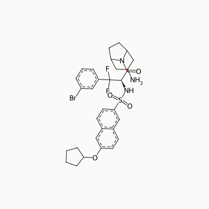 NC1CC2CCC(C1)N2C(=O)[C@@H](NS(=O)(=O)c1ccc2cc(OC3CCCC3)ccc2c1)C(F)(F)c1cccc(Br)c1